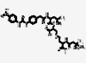 CC(C)CC(NC(=O)Cc1ccc(NC(=O)Nc2ccc([N+](=O)[O-])cc2)cc1)C(=O)NC(CNCCC(NC(=O)CC(C)(C)C)C(=O)O)C(=O)O